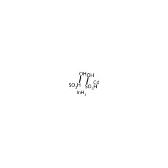 O=S(=O)(O)O.O=S(=O)(O)O.[Cd].[InH3]